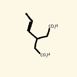 CC=CC(CC(=O)O)CC(=O)O